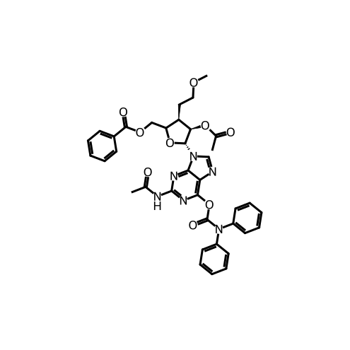 COCC[C@@H]1C(COC(=O)c2ccccc2)O[C@@H](n2cnc3c(OC(=O)N(c4ccccc4)c4ccccc4)nc(NC(C)=O)nc32)[C@@H]1OC(C)=O